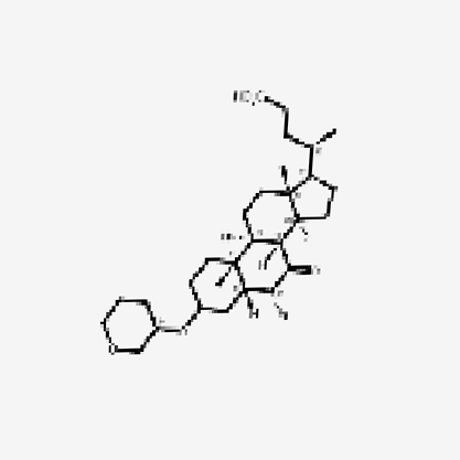 CC[C@H]1C(=O)[C@@H]2[C@H](CC[C@]3(C)[C@@H]([C@H](C)CCC(=O)O)CC[C@@H]23)[C@@]2(C)CCC(O[C@@H]3CCCOC3)C[C@@H]12